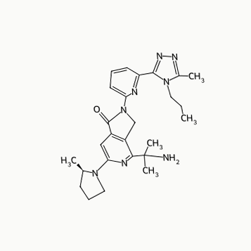 CCCn1c(C)nnc1-c1cccc(N2Cc3c(cc(N4CCC[C@H]4C)nc3C(C)(C)N)C2=O)n1